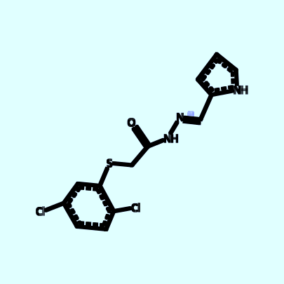 O=C(CSc1cc(Cl)ccc1Cl)N/N=C/c1ccc[nH]1